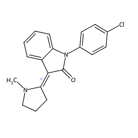 CN1CCC/C1=C1\C(=O)N(c2ccc(Cl)cc2)c2ccccc21